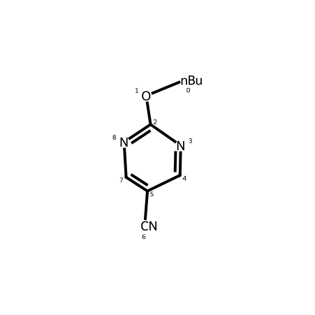 CCCCOc1ncc(C#N)cn1